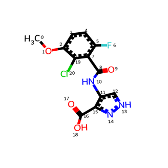 COc1ccc(F)c(C(=O)Nc2c[nH]nc2C(=O)O)c1Cl